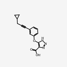 O=C(O)c1nn[nH]c1Oc1cccc(C#CCC2CC2)c1